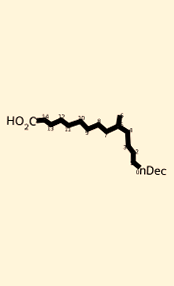 CCCCCCCCCCCCCCC(C)CCCCCCCCC(=O)O